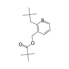 CC(C)(C)Cc1bcccc1COC(=O)C(C)(C)C